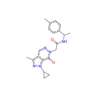 Cc1ccc(C(C)NC(=O)Cn2ncc3c(C)nn(C4CC4)c3c2=O)cc1